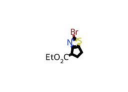 CCOC(=O)C1CCc2sc(Br)nc21